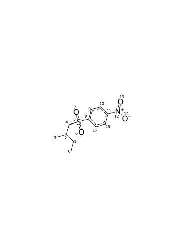 CCC(C)CS(=O)(=O)c1ccc([N+](=O)[O-])cc1